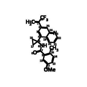 C=C(c1cc(C2(NC(=O)c3cc(OC)ccc3C)CC2)c2cccnc2c1)C(F)(F)F